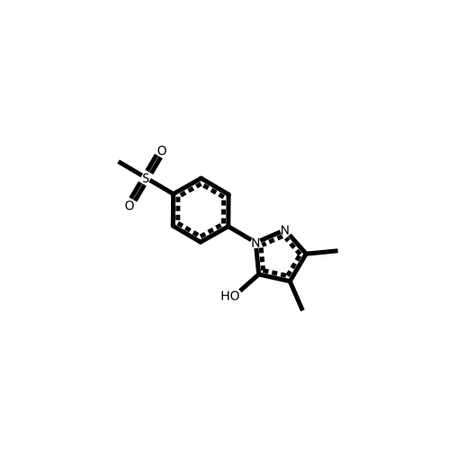 Cc1nn(-c2ccc(S(C)(=O)=O)cc2)c(O)c1C